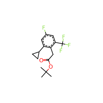 CC(C)(C)OC(=O)Cc1c(C2CC2)cc(F)cc1C(F)(F)F